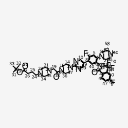 C[C@@H]1CN(c2cc(F)c(-c3cnc(N4CCN(C(=O)CN5CCN(CCCC(=O)OC(C)(C)C)CC5)CC4)nc3)cc2NC(=O)c2ccc(F)cc2C(F)(F)F)C[C@H](C)N1C